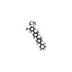 N#CSc1ccc(-c2ccc(-c3ccc(C4CCCCC4)cc3F)cc2F)cc1F